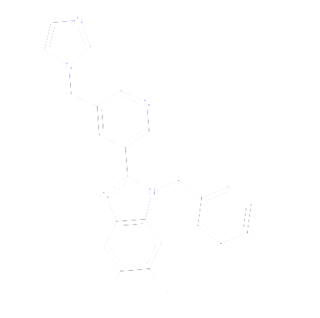 Fc1cc2nc(-c3cncc(Cn4ccnc4)c3)n(Cc3ccc(Cl)cc3)c2cc1Br